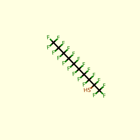 FC(F)(F)C(F)(F)C(F)(F)C(F)(F)C(F)(F)C(F)(F)C(F)(F)C(F)(F)C(F)(S)C(F)(F)F